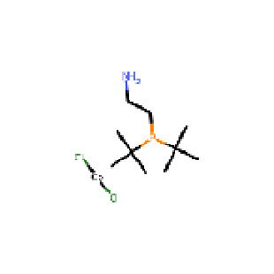 CC(C)(C)P(CCN)C(C)(C)C.[Cl][Co][Cl]